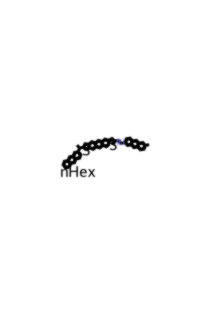 CCCCCCc1ccc2cc3cc(C(C)c4cc5cc6cc7cc8cc(/C=C/c9ccc%10cc%11cc(C)ccc%11cc%10c9)sc8cc7cc6cc5s4)ccc3cc2c1